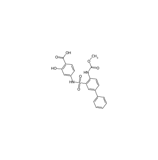 COC(=O)Nc1ccc(-c2ccccc2)cc1S(=O)(=O)Nc1ccc(C(=O)O)c(O)c1